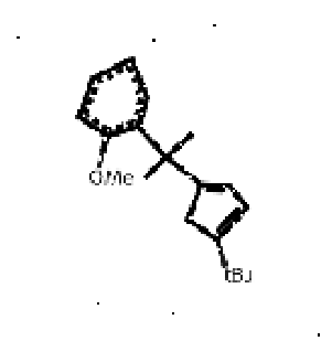 COc1ccccc1C(C)(C)C1=CC=C(C(C)(C)C)C1